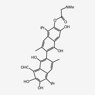 CNCC(=O)Oc1c(O)cc2c(O)c(-c3c(C)cc4c(C(C)C)c(O)c(O)c(C=O)c4c3O)c(C)cc2c1C(C)C